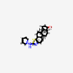 C[C@]12CCc3nc(NN4CCCCC4)sc3C1CC[C@@H]1[C@@H]2CC[C@]2(C)C(=O)CC[C@@H]12